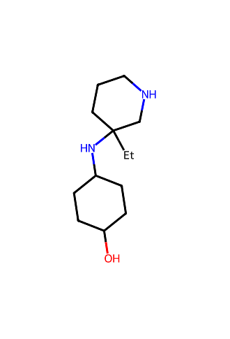 CCC1(NC2CCC(O)CC2)CCCNC1